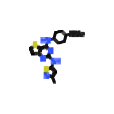 CN[C@H]1CC[C@@H](Nc2nc(Nc3cc(C)ns3)nc3ccsc23)CC1